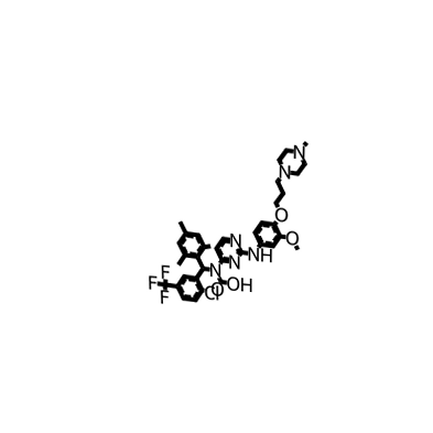 COc1cc(Nc2nccc(N(C(=O)O)C(c3cc(C(F)(F)F)ccc3Cl)c3c(C)cc(C)cc3C)n2)ccc1OCCCN1CCN(C)CC1